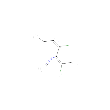 C=NC(=C(/C)Cl)/C(F)=C\CC